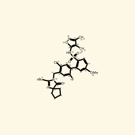 CCCCC1=NC2(CCCC2)C(=O)N1Cc1cc(F)c(-c2cc(OC)ccc2S(=O)(=O)Nc2onc(C)c2C)cc1Cl